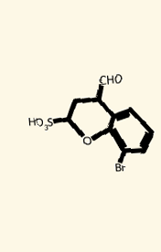 O=CC1CC(S(=O)(=O)O)Oc2c(Br)cccc21